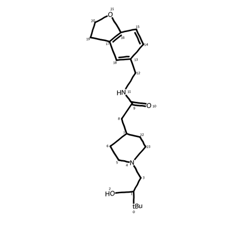 CC(C)(C)C(O)CN1CCC(CC(=O)NCc2ccc3c(c2)CCO3)CC1